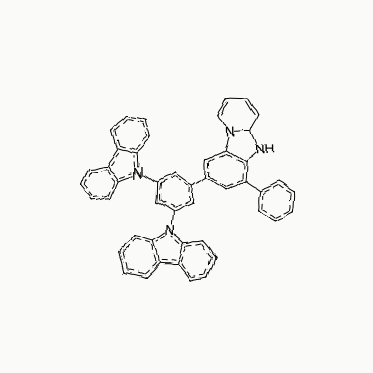 C1=CC2Nc3c(-c4ccccc4)cc(-c4cc(-n5c6ccccc6c6ccccc65)cc(-n5c6ccccc6c6ccccc65)c4)cc3N2C=C1